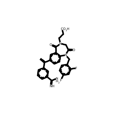 C=C(c1cccc(C(=N)N)c1)c1ccc2c(c1)C(=O)N(CCC(=O)O)CC(=O)N2Cc1ccc(F)cc1F